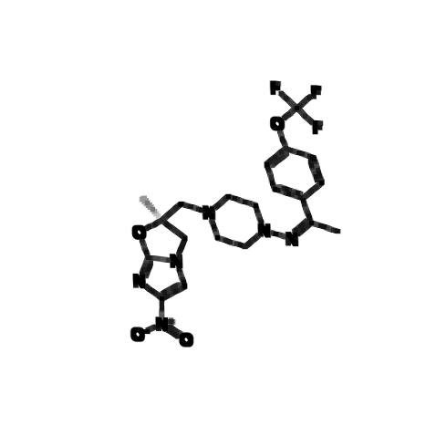 C/C(=N/N1CCN(C[C@@]2(C)Cn3cc([N+](=O)[O-])nc3O2)CC1)c1ccc(OC(F)(F)F)cc1